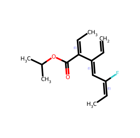 C=CC(=C\C(F)=C/C)/C(=C\C)C(=O)OC(C)C